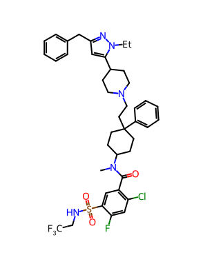 CCn1nc(Cc2ccccc2)cc1C1CCN(CCC2(c3ccccc3)CCC(N(C)C(=O)c3cc(S(=O)(=O)NCC(F)(F)F)c(F)cc3Cl)CC2)CC1